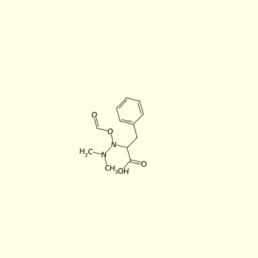 CN(C)N(OC=O)C(Cc1ccccc1)C(=O)O